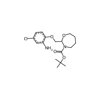 CC(C)(C)OC(=O)N1CCCCOC1COc1ccc(Cl)cc1N